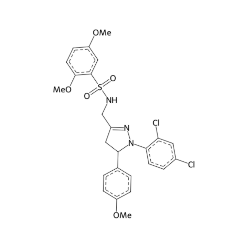 COc1ccc(C2CC(CNS(=O)(=O)c3cc(OC)ccc3OC)=NN2c2ccc(Cl)cc2Cl)cc1